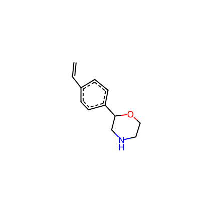 C=Cc1ccc(C2CNCCO2)cc1